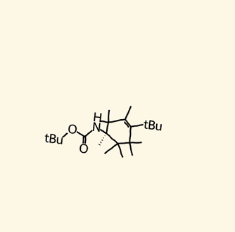 CC1=C(C(C)(C)C)C(C)(C)C(C)(C)[C@@](C)(NC(=O)OC(C)(C)C)C1(C)C